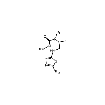 CC(C)N(C(=O)OC(C)(C)C)C(C)CNc1cnc(N)s1